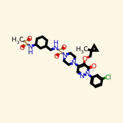 CC1(COc2c(N3CCN(S(=O)(=O)NCC4CCCC(NS(C)(=O)=O)C4)CC3)cnn(-c3cccc(Cl)c3)c2=O)CC1